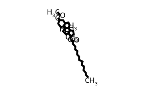 CCCCCCCCCCCCCCCC(=O)OC1CC[C@H]2[C@@H]3CC=C4CC(OC(C)=O)CC[C@]4(C)[C@H]3CC[C@]12C